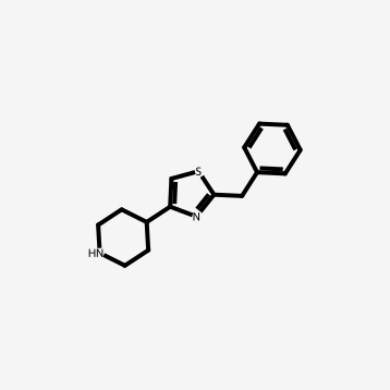 c1ccc(Cc2nc(C3CCNCC3)cs2)cc1